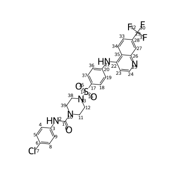 O=C(Nc1ccc(Cl)cc1)N1CCN(S(=O)(=O)c2ccc(Nc3ccnc4cc(C(F)(F)F)ccc34)cc2)CC1